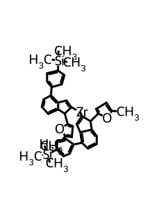 Cc1ccc(C2[C]([Zr][C]3=Cc4c(-c5ccc([Si](C)(C)C)cc5)cccc4C3c3ccc(C)o3)=Cc3c(-c4ccc([Si](C)(C)C)cc4)cccc32)o1